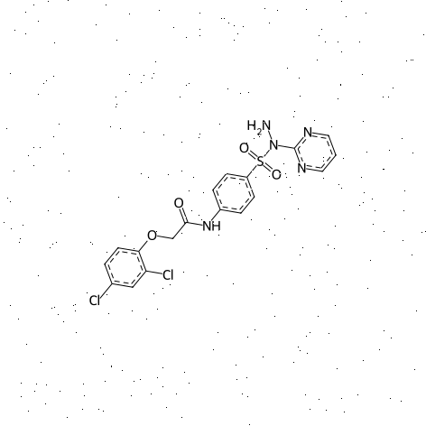 NN(c1ncccn1)S(=O)(=O)c1ccc(NC(=O)COc2ccc(Cl)cc2Cl)cc1